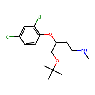 CNCCC(COC(C)(C)C)Oc1ccc(Cl)cc1Cl